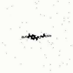 COC(C)CCOC=C(C)c1ccc(C(C)=COCC(C)C)cc1